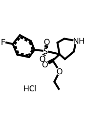 CCOC(=O)C1(S(=O)(=O)c2ccc(F)cc2)CCNCC1.Cl